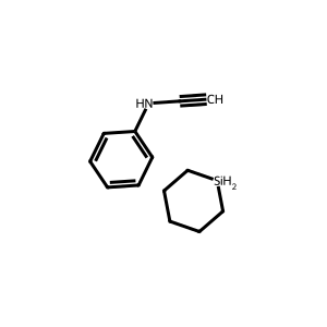 C#CNc1ccccc1.C1CC[SiH2]CC1